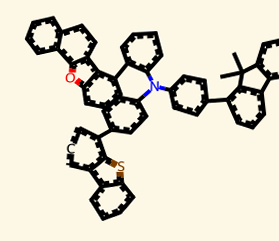 CC1(C)c2ccccc2-c2cccc(-c3ccc(N(c4ccc(-c5cccc6c5sc5ccccc56)cc4)c4ccccc4-c4cccc5oc6c7ccccc7ccc6c45)cc3)c21